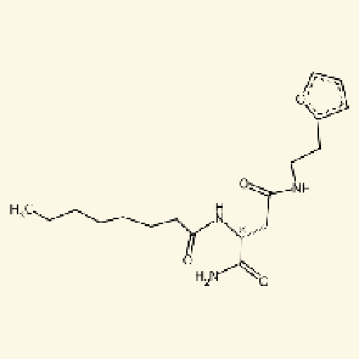 CCCCCCCC(=O)N[C@H](CC(=O)NCCc1ccco1)C(N)=O